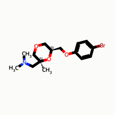 CN(C)C[C@@]1(C)COC[C@@H](COc2ccc(Br)cc2)O1